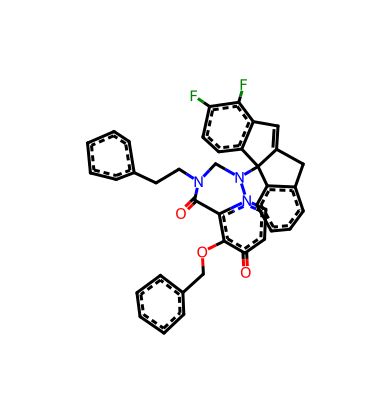 O=C1c2c(OCc3ccccc3)c(=O)ccn2N(C23C(=Cc4c2ccc(F)c4F)Cc2ccccc23)CN1CCc1ccccc1